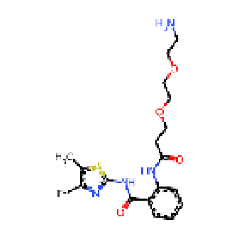 CCc1nc(NC(=O)c2ccccc2NC(=O)CCOCCOCCN)sc1C